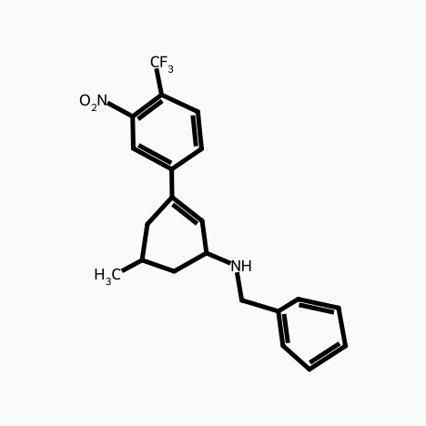 CC1CC(c2ccc(C(F)(F)F)c([N+](=O)[O-])c2)=CC(NCc2ccccc2)C1